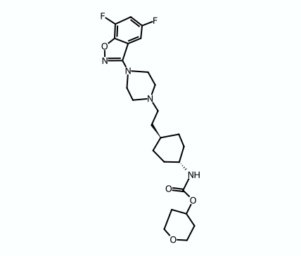 O=C(N[C@H]1CC[C@H](CCN2CCN(c3noc4c(F)cc(F)cc34)CC2)CC1)OC1CCOCC1